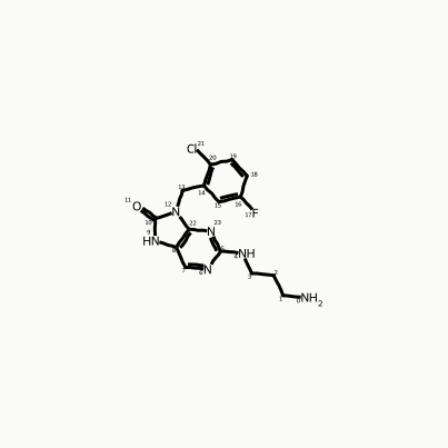 NCCCNc1ncc2[nH]c(=O)n(Cc3cc(F)ccc3Cl)c2n1